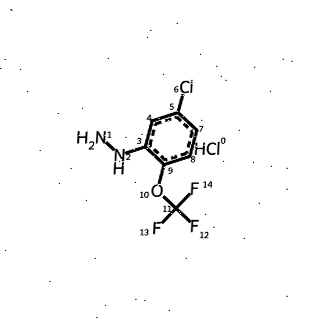 Cl.NNc1cc(Cl)ccc1OC(F)(F)F